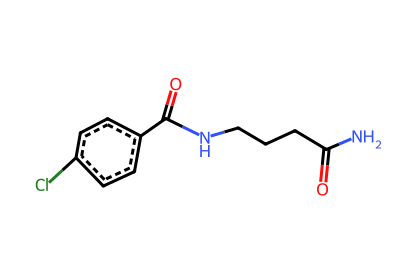 NC(=O)CCCNC(=O)c1ccc(Cl)cc1